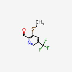 CCSc1cc(C(F)(F)F)cnc1C=O